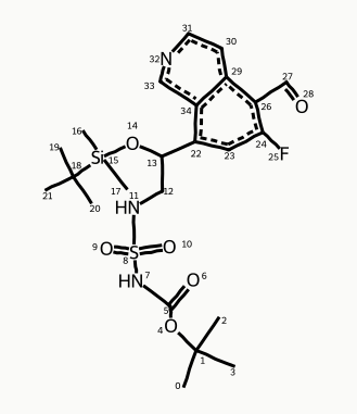 CC(C)(C)OC(=O)NS(=O)(=O)NCC(O[Si](C)(C)C(C)(C)C)c1cc(F)c(C=O)c2ccncc12